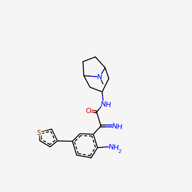 CN1C2CCC1CC(NC(=O)C(=N)c1cc(-c3ccsc3)ccc1N)C2